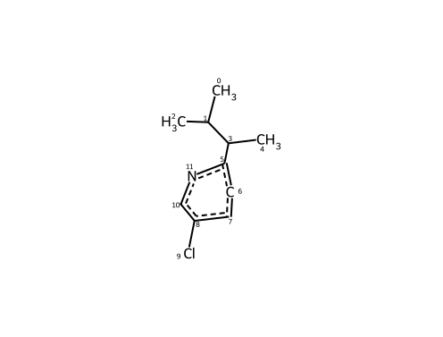 CC(C)C(C)c1ccc(Cl)cn1